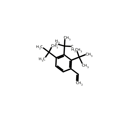 C=Cc1ccc(C(C)(C)C)c(C(C)(C)C)c1C(C)(C)C